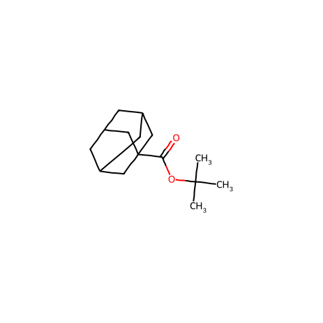 CC(C)(C)OC(=O)C12CC3CC(CC(C3)C1)C2